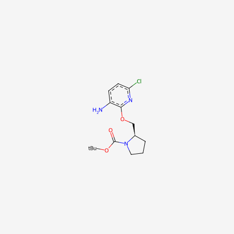 CC(C)(C)OC(=O)N1CCC[C@@H]1COc1nc(Cl)ccc1N